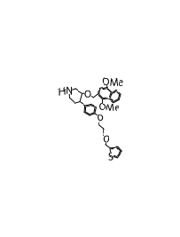 COc1cc(COC2CNCCC2c2ccc(OCCCOCc3cccs3)cc2)c(OC)c2ccccc12